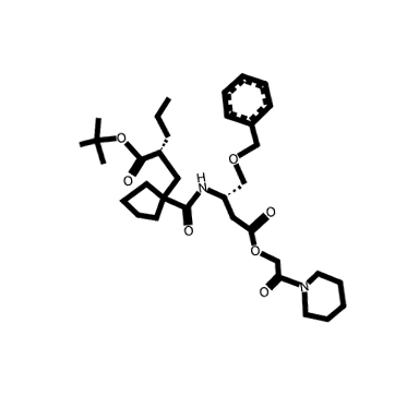 CCC[C@H](CC1(C(=O)N[C@H](COCc2ccccc2)CC(=O)OCC(=O)N2CCCCC2)CCCC1)C(=O)OC(C)(C)C